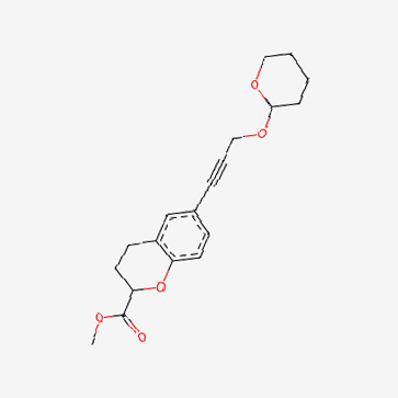 COC(=O)C1CCc2cc(C#CCOC3CCCCO3)ccc2O1